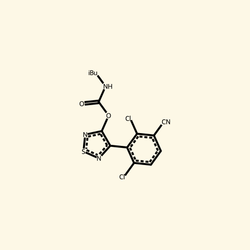 CCC(C)NC(=O)Oc1nsnc1-c1c(Cl)ccc(C#N)c1Cl